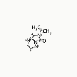 CC(C)n1cc2nccnn2c1=O